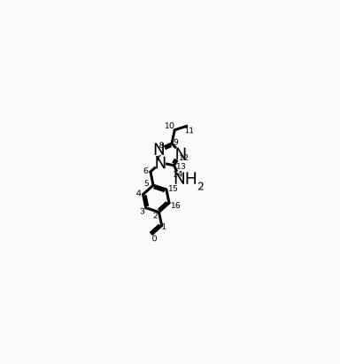 C=Cc1ccc(Cn2nc(CC)nc2N)cc1